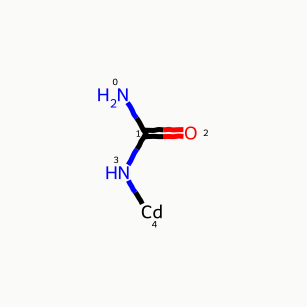 NC(=O)[NH][Cd]